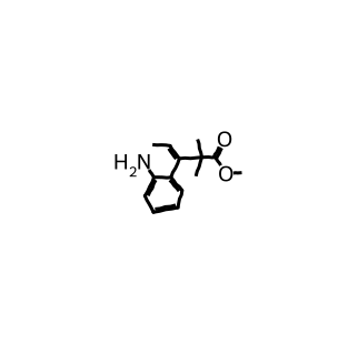 C/C=C(\c1ccccc1N)C(C)(C)C(=O)OC